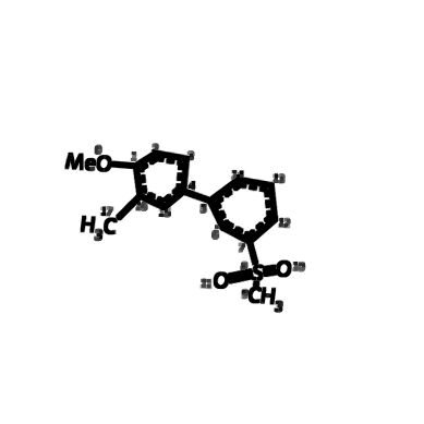 COc1ccc(-c2[c]c(S(C)(=O)=O)ccc2)cc1C